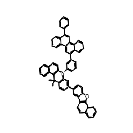 CC1(C)c2ccc(-c3ccc4oc5c6ccccc6ccc5c4c3)cc2N(c2cccc(-c3cc4c5ccccc5c(-c5ccccc5)cc4c4ccccc34)c2)c2ccc3ccccc3c21